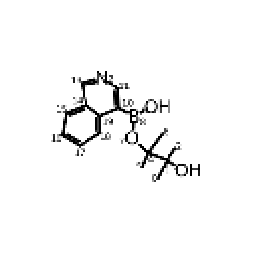 CC(C)(O)C(C)(C)OB(O)c1cncc2ccccc12